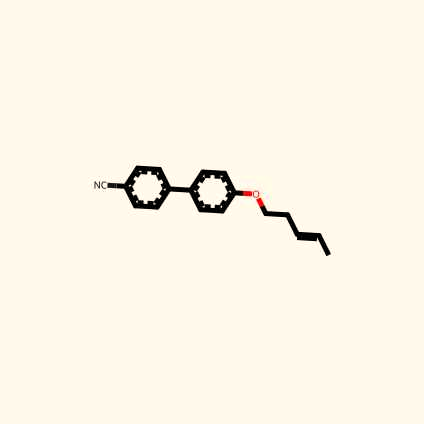 CC=CCCOc1ccc(-c2ccc(C#N)cc2)cc1